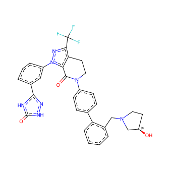 O=C1c2c(c(C(F)(F)F)nn2-c2cccc(-c3n[nH]c(=O)[nH]3)c2)CCN1c1ccc(-c2ccccc2CN2CC[C@@H](O)C2)cc1